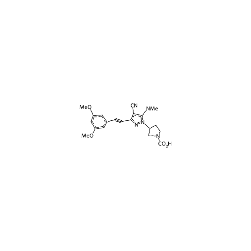 CNc1c(C#N)c(C#Cc2cc(OC)cc(OC)c2)nn1C1CCN(C(=O)O)C1